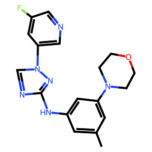 Cc1cc(Nc2ncn(-c3cncc(F)c3)n2)cc(N2CCOCC2)c1